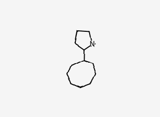 C1CCCC(C2CCC[N]2)CCC1